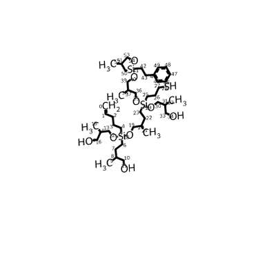 C=CCCC[Si](CCC(C)CO)(OCC(C)CO)OCC(C)CC[Si](CCCS)(OCC(C)CO)OCC(C)CO[Si]1(CCc2ccccc2)CC(C)CO1